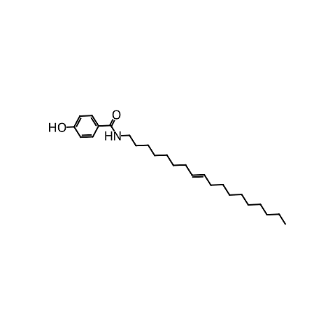 CCCCCCCCCC=CCCCCCCCNC(=O)c1ccc(O)cc1